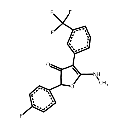 CNC1=C(c2cccc(C(F)(F)F)c2)C(=O)C(c2ccc(F)cc2)O1